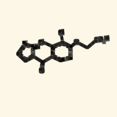 O=C(O)COc1ccc(C(=O)c2ccn[nH]2)c(Cl)c1Cl